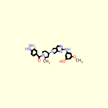 COc1cc(O)cc(Nc2ncc3c(n2)CN([C@@H]2CCN(C(=O)c4ccc(NN)cc4)[C@H](C)C2)C3)c1